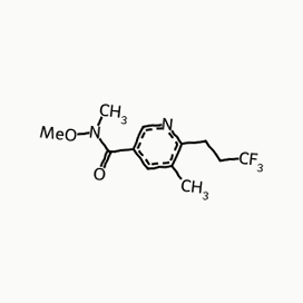 CON(C)C(=O)c1cnc(CCC(F)(F)F)c(C)c1